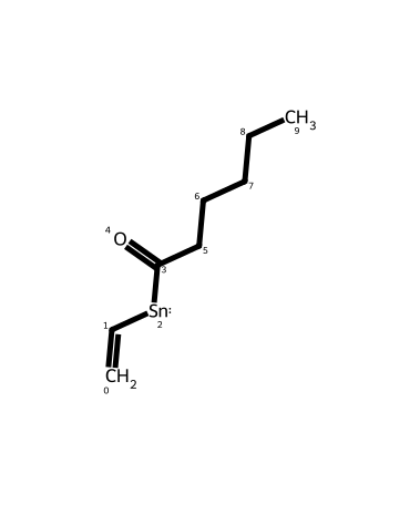 C=[CH][Sn][C](=O)CCCCC